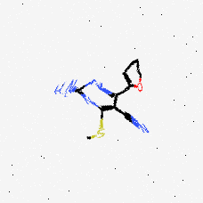 CSc1nc(N)nc(C2=CCCO2)c1C#N